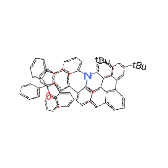 CC(C)(C)c1cc(-c2cccc3cccc(-c4ccccc4N(c4cccc(-c5cccc6oc7ccccc7c56)c4)c4ccccc4-c4ccc5c(c4)C(c4ccccc4)(c4ccccc4)c4ccccc4-5)c23)cc(C(C)(C)C)c1